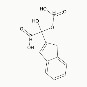 O=[PH](O)OC(O)(C1=Cc2ccccc2C1)[PH](=O)O